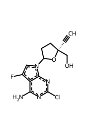 C#C[C@@]1(CO)CCC(n2cc(F)c3c(N)nc(Cl)nc32)O1